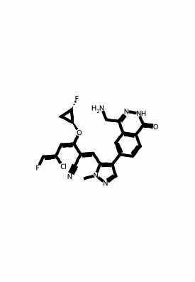 Cn1ncc(-c2ccc3c(=O)[nH]nc(CN)c3c2)c1/C=C(C#N)/C(=C\C(Cl)=C\F)O[C@H]1C[C@@H]1F